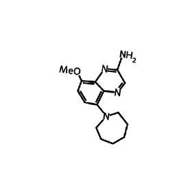 COc1ccc(N2CCCCCC2)c2ncc(N)nc12